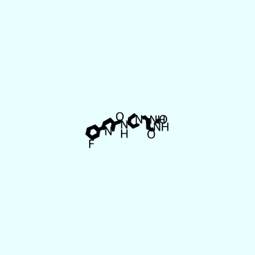 O=C(NC1CCN(Cc2cc(=O)[nH]c(=O)[nH]2)CC1)c1ccc(-c2cccc(F)c2)nc1